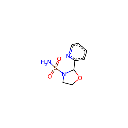 NS(=O)(=O)N1CCOC1c1ccccn1